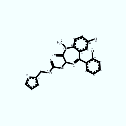 CN1C(=O)C(NC(=S)NCc2cccs2)N=C(c2ccccc2Cl)c2cc(Cl)ccc21